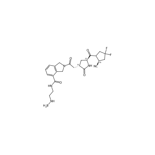 BNCCNC(=O)c1cccc2c1CN(C(=O)C[C@@H]1C[C@@H](C(=O)C3CC(F)(F)C[C@H]3C#N)NC1=O)C2